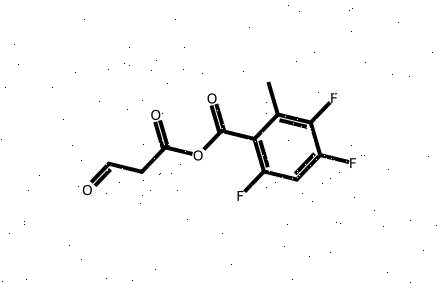 Cc1c(F)c(F)cc(F)c1C(=O)OC(=O)CC=O